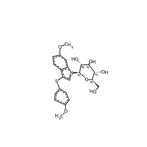 COc1ccc(Sc2cn([C@@H]3O[C@H](CO)[C@@H](O)[C@H](O)[C@H]3O)c3cc(OC)ccc23)cc1